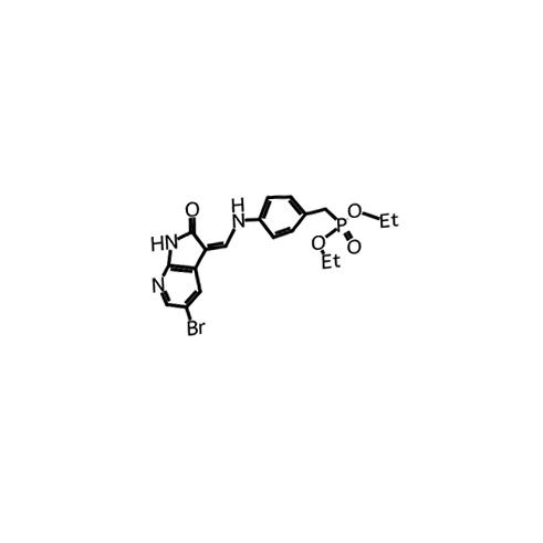 CCOP(=O)(Cc1ccc(NC=C2C(=O)Nc3ncc(Br)cc32)cc1)OCC